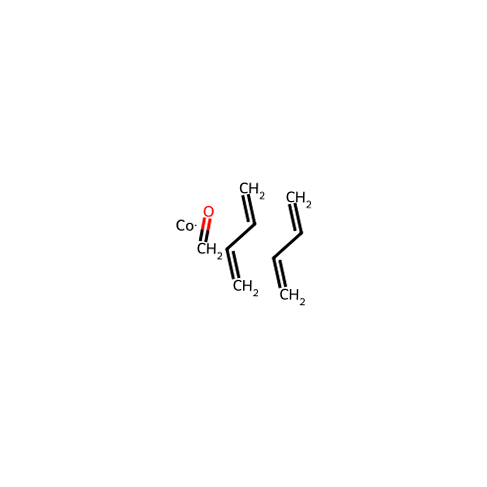 C=CC=C.C=CC=C.C=O.[Co]